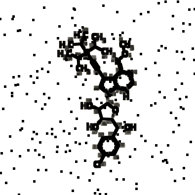 CO/N=c1\nc[nH]c2c1c(C#C[Si](C(C)C)(C(C)C)C(C)C)cn2[C@@H]1O[C@H]([C@H](O)c2ccc(Cl)cc2)[C@@H](O)[C@H]1O